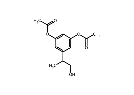 C[C](CO)c1cc(OC(C)=O)cc(OC(C)=O)c1